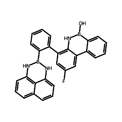 OB1Nc2c(cc(F)cc2-c2ccccc2B2Nc3cccc4cccc(c34)N2)-c2ccccc21